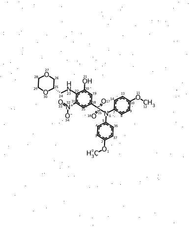 COc1ccc(N(c2ccc(OC)cc2)S(=O)(=O)c2cc(O)c(NC[C@H]3COCCO3)c([N+](=O)[O-])c2)cc1